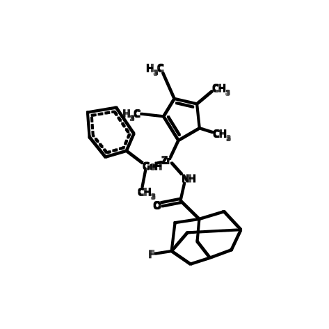 CC1=C(C)C(C)[C]([Zr]([NH]C(=O)C23CC4CC(CC(F)(C4)C2)C3)[GeH]([CH3])[c]2ccccc2)=C1C